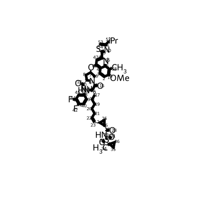 COc1ccc2c(O[C@@H]3C[C@@H](C(N)=O)N(C(=O)[C@H](CCCCC/C=C\[C@@H]4C[C@@H]4C(=O)NS(=O)(=O)C4(C)CC4)Nc4ccc(F)c(F)c4)C3)cc(-c3nc(C(C)C)cs3)nc2c1C